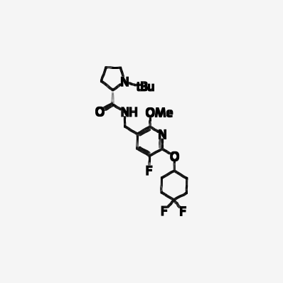 COc1nc(OC2CCC(F)(F)CC2)c(F)cc1CNC(=O)[C@@H]1CCCN1C(C)(C)C